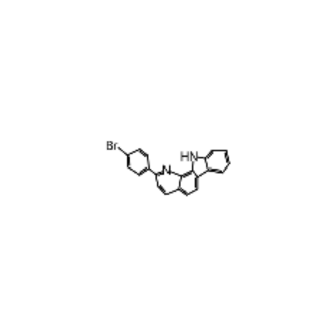 Brc1ccc(-c2ccc3ccc4c5ccccc5[nH]c4c3n2)cc1